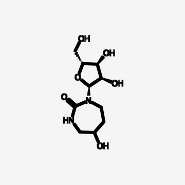 O=C1NCC(O)CCN1[C@@H]1O[C@H](CO)[C@@H](O)[C@H]1O